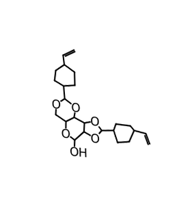 C=CC1CCC(C2OCC3OC(O)C4OC(C5CCC(C=C)CC5)OC4C3O2)CC1